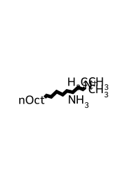 CCCCCCCCCCCCCCCC[N+](C)(C)C.N